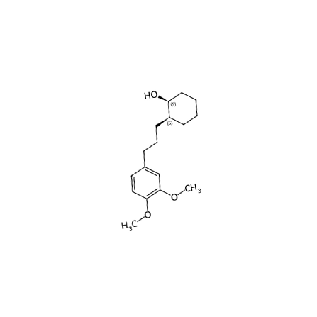 COc1ccc(CCC[C@@H]2CCCC[C@@H]2O)cc1OC